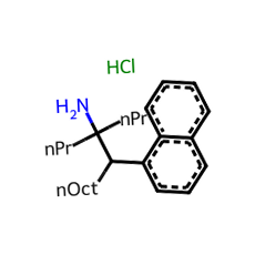 CCCCCCCCC(c1cccc2ccccc12)C(N)(CCC)CCC.Cl